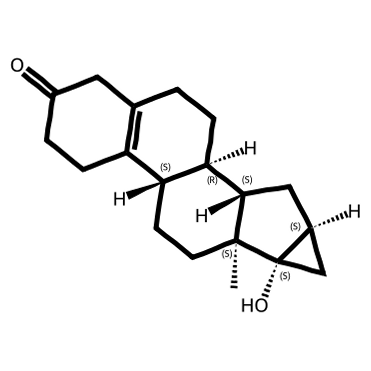 C[C@]12CC[C@@H]3C4=C(CC[C@H]3[C@@H]1C[C@H]1C[C@]12O)CC(=O)CC4